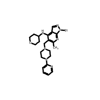 CCn1ncc2c(NC3CCOCC3)c(CN3CCN(c4ccccn4)CC3)c(C)nc21